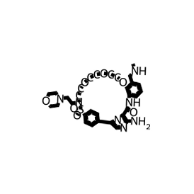 CNCc1cccc2c1OCCOCCOCCN(CCN1CCOCC1)S(=O)(=O)c1ccc(cc1)-c1cnc(N)c(n1)C(=O)N2